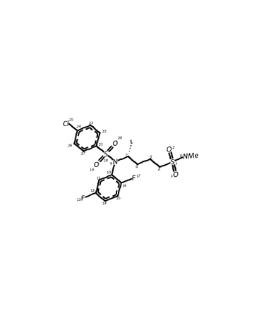 CNS(=O)(=O)CCC[C@@H](C)N(c1cc(F)ccc1F)S(=O)(=O)c1ccc(Cl)cc1